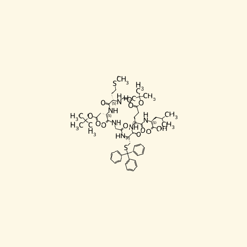 CSCC[C@H](NC=O)C(=O)N[C@@H](CC(=O)OC(C)(C)C)C(=O)NCC(=O)N[C@@H](CSC(c1ccccc1)(c1ccccc1)c1ccccc1)C(=O)N[C@@H](CCC(=O)OC(C)(C)C)C(=O)N[C@@H](CC(C)C)C(=O)O